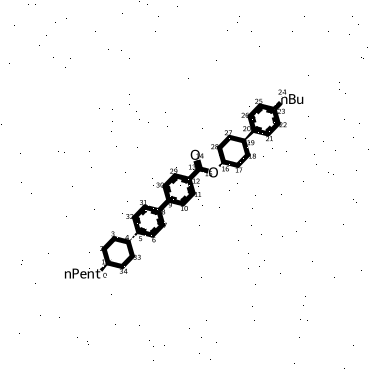 CCCCC[C@H]1CC[C@H](c2ccc(-c3ccc(C(=O)O[C@H]4CC[C@H](c5ccc(CCCC)cc5)CC4)cc3)cc2)CC1